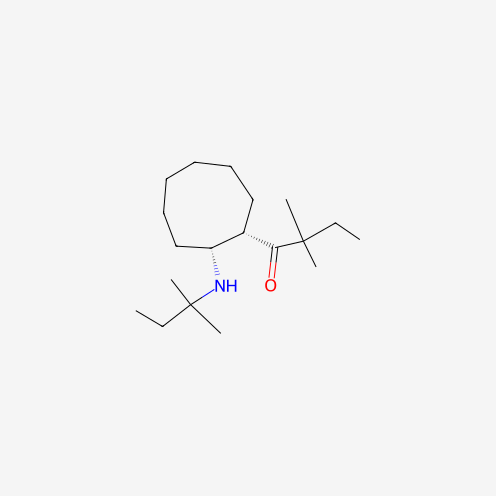 CCC(C)(C)N[C@@H]1CCCCCC[C@@H]1C(=O)C(C)(C)CC